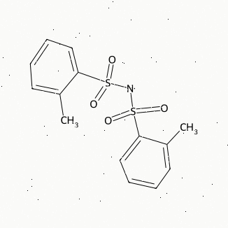 Cc1ccccc1S(=O)(=O)[N]S(=O)(=O)c1ccccc1C